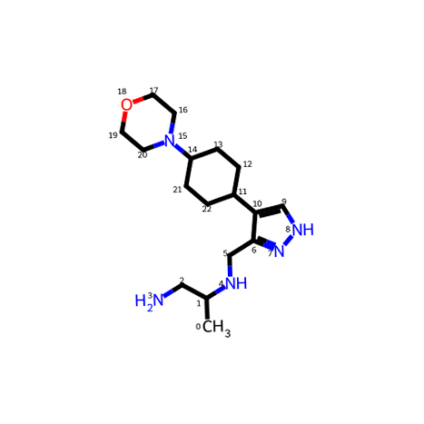 CC(CN)NCc1n[nH]cc1C1CCC(N2CCOCC2)CC1